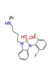 CC(C)NCCCCN1c2ccccc2N(c2c(F)cccc2F)S1(O)O